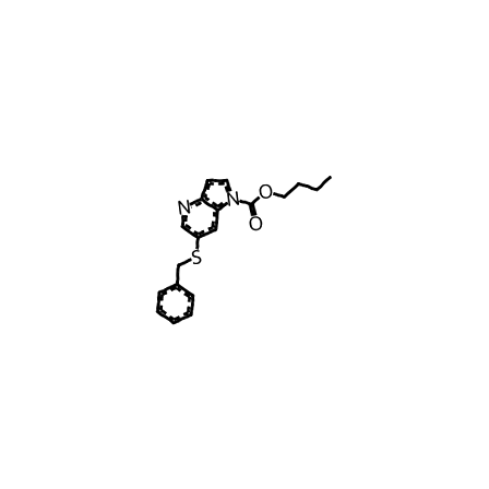 CCCCOC(=O)n1ccc2ncc(SCc3ccccc3)cc21